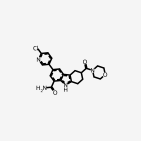 NC(=O)c1cc(-c2ccc(Cl)nc2)cc2c3c([nH]c12)CCC(C(=O)N1CCOCC1)C3